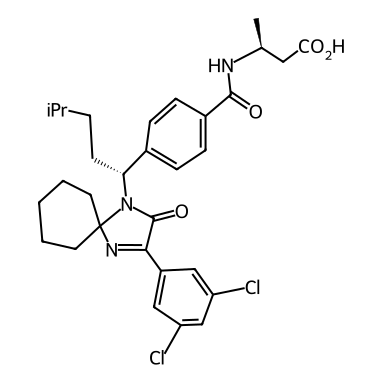 CC(C)CC[C@H](c1ccc(C(=O)N[C@@H](C)CC(=O)O)cc1)N1C(=O)C(c2cc(Cl)cc(Cl)c2)=NC12CCCCC2